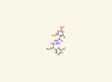 CC(=O)OC(C(=O)NNC(=O)c1c(C)cc(O)cc1O)c1cccc(Cl)c1